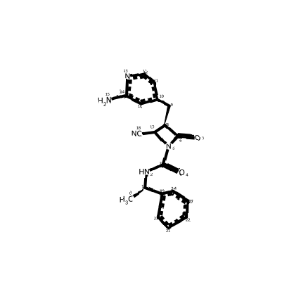 C[C@@H](NC(=O)N1C(=O)[C@H](Cc2ccnc(N)c2)C1C#N)c1ccccc1